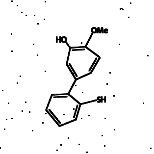 COc1ccc(-c2ccccc2S)cc1O